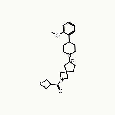 COc1ccccc1C1CCN([C@H]2CCC3(C2)CN(C(=O)C2COC2)C3)CC1